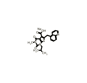 CC(C)Cn1c(=O)n(C)c(=O)c2c(C(=O)O)c(Cc3cccc4ncccc34)sc21.[Na]